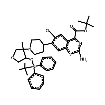 CC(C)(C)OC(=O)c1nc(N)nc2cc(C3CCN(C4(C)COCC4O[Si](c4ccccc4)(c4ccccc4)C(C)(C)C)CC3)c(Cl)cc12